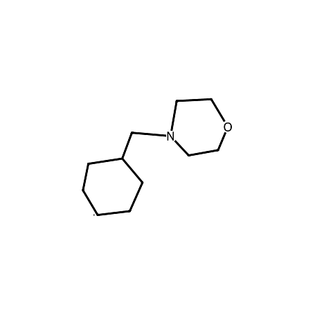 [CH]1CCC(CN2CCOCC2)CC1